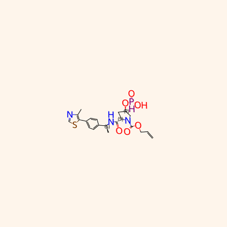 C=CCOC(=O)N1C[C@H](O[PH](=O)O)C[C@H]1C(=O)N[C@@H](C)c1ccc(-c2scnc2C)cc1